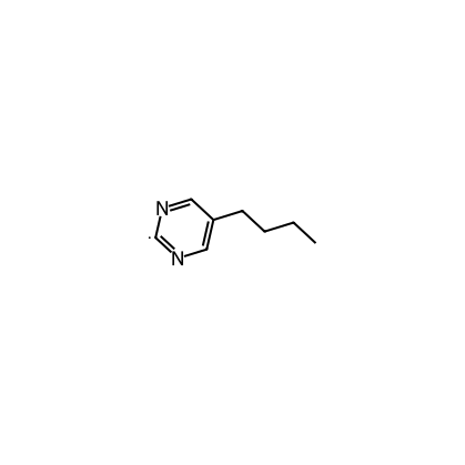 CCCCc1cn[c]nc1